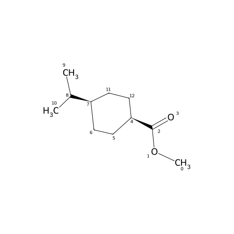 COC(=O)[C@H]1CC[C@@H](C(C)C)CC1